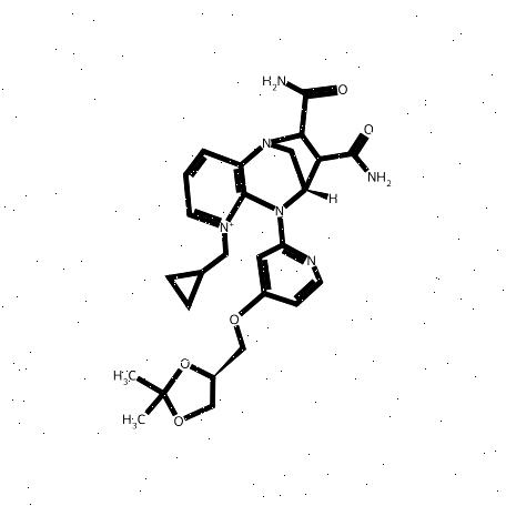 CC1(C)OC[C@H](COc2ccnc(N3c4c(ccc[n+]4CC4CC4)N4C[C@@H]3C(C(N)=O)C4C(N)=O)c2)O1